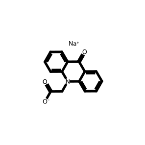 O=C([O-])Cn1c2ccccc2c(=O)c2ccccc21.[Na+]